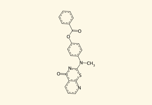 CN(c1ccc(OC(=O)c2ccccc2)cc1)c1nc(=O)c2cccnc2s1